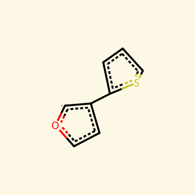 [c]1occc1-c1cccs1